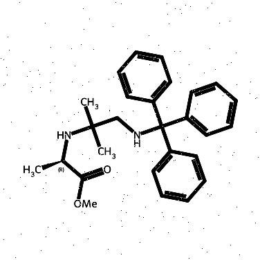 COC(=O)[C@@H](C)NC(C)(C)CNC(c1ccccc1)(c1ccccc1)c1ccccc1